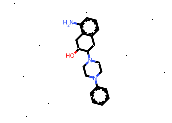 Nc1cccc2c1CC(O)C(N1CCN(c3ccccc3)CC1)C2